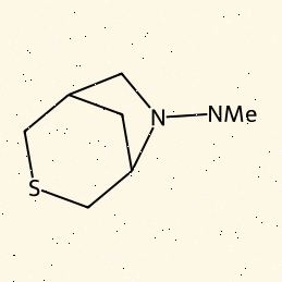 CNN1CC2CSCC1C2